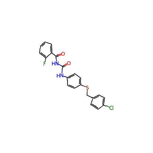 O=C(NC(=O)c1ccccc1F)Nc1ccc(SCc2ccc(Cl)cc2)cc1